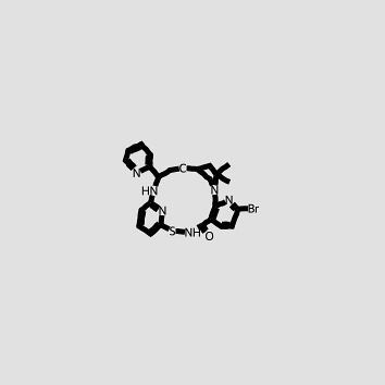 CC1(C)CC2CCC(c3ccccn3)Nc3cccc(n3)SNC(=O)c3ccc(Br)nc3N1C2